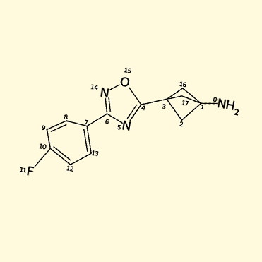 NC12CC(c3nc(-c4ccc(F)cc4)no3)(C1)C2